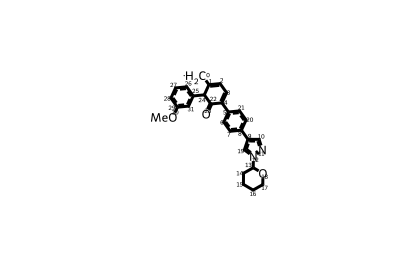 [CH2]C1=CC=C(c2ccc(-c3cnn(C4CCCCO4)c3)cc2)C(=O)C1c1cccc(OC)c1